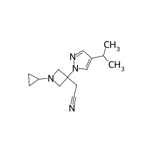 CC(C)c1cnn(C2(CC#N)CN(C3CC3)C2)c1